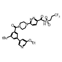 CCOc1cncc(-c2cc(C(=O)N3CCN(c4ccc(C(=O)NS(=O)(=O)CCC(F)(F)F)nn4)CC3)cc(C(C)(C)C)c2)c1